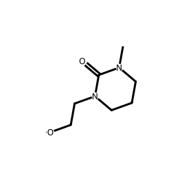 CN1CCCN(CC[O])C1=O